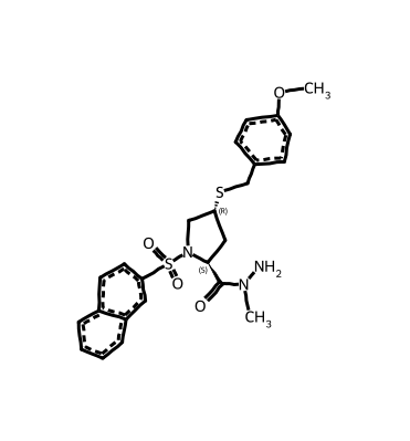 COc1ccc(CS[C@@H]2C[C@@H](C(=O)N(C)N)N(S(=O)(=O)c3ccc4ccccc4c3)C2)cc1